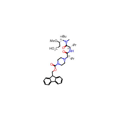 CC[C@H](C)[C@@H](C(CC(=O)O)OC)N(C)C(=O)[C@@H](NC(=O)[C@H](C(C)C)N1CCN(C(=O)OCC2c3ccccc3-c3ccccc32)CC1)C(C)C